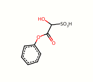 O=C(Oc1ccccc1)C(O)S(=O)(=O)O